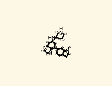 Cn1ccc2ccc(-c3cc(NC4CCCNC4)cc4nccnc34)cc21